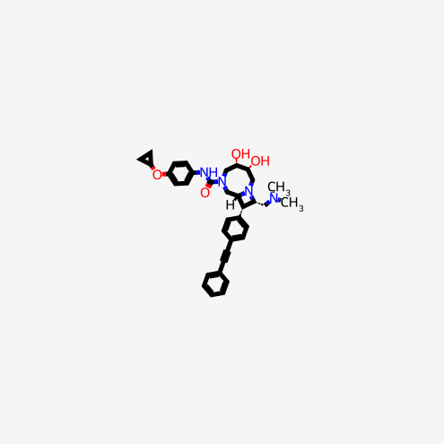 CN(C)C[C@@H]1[C@H](c2ccc(C#Cc3ccccc3)cc2)[C@@H]2CN(C(=O)Nc3ccc(OC4CC4)cc3)C[C@H](O)[C@H](O)CN12